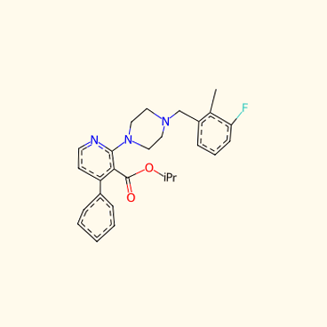 Cc1c(F)cccc1CN1CCN(c2nccc(-c3ccccc3)c2C(=O)OC(C)C)CC1